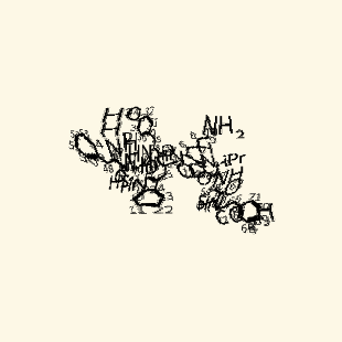 CC(C)[C@H](NC(=O)[C@H](CCCCN)NC(=O)[C@@H](Cc1c[nH]c2ccccc12)NC(=O)[C@H](Cc1ccc(O)cc1)NC(=O)[C@H](CS)NC(=O)[C@H](N)Cc1ccccc1)C(=O)N[C@@H](CS)C(=O)N[C@@H](Cc1ccccc1)C(=O)O